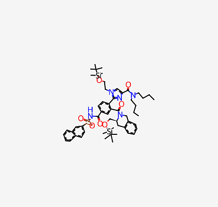 CCCCN(CCCC)C(=O)c1cn(CCO[Si](C)(C)C(C)(C)C)c(-c2ccc(C(=O)NS(=O)(=O)c3ccc4ccccc4c3)cc2C(=O)N2Cc3ccccc3C[C@H]2CO[Si](C)(C)C(C)(C)C)n1